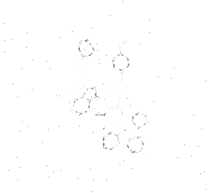 COc1ccc(CO[C@@H]2[C@H](O)[C@@H](COC(c3ccccc3)(c3ccccc3)c3ccccc3)N(C(=O)OC(C)(C)C)[C@H]2c2cn(COCc3ccccc3)c3c(OC)ncnc23)cc1